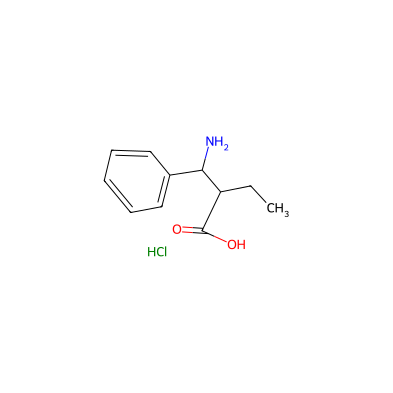 CCC(C(=O)O)C(N)c1ccccc1.Cl